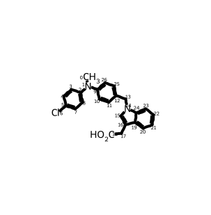 CN(c1ccc(Cl)cc1)c1ccc(Cn2cc(CC(=O)O)c3ccccc32)cc1